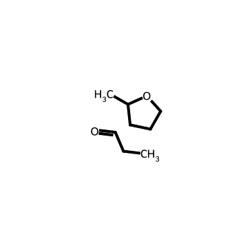 CC1CCCO1.CCC=O